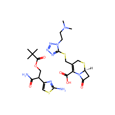 CC(C)(C)C(=O)OCC(C(N)=O)c1csc(N)n1.CN(C)CCn1nnnc1SCC1=C(C(=O)O)N2C(=O)C[C@@H]2SC1